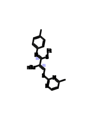 CCCCC(=C\Sc1nccc(C)n1)/C(=N/c1ccc(C)cc1)SCC